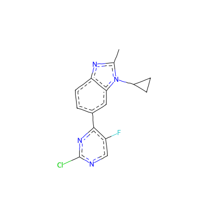 Cc1nc2ccc(-c3nc(Cl)ncc3F)cc2n1C1CC1